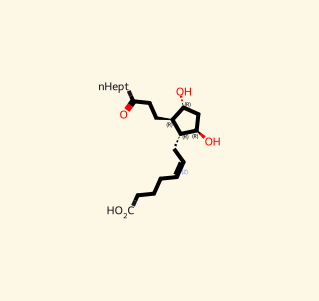 CCCCCCCC(=O)CC[C@@H]1[C@@H](C/C=C\CCCC(=O)O)[C@H](O)C[C@H]1O